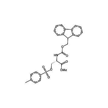 COC(=O)[C@H](COS(=O)(=O)c1ccc(C)cc1)NC(=O)OCC1c2ccccc2-c2ccccc21